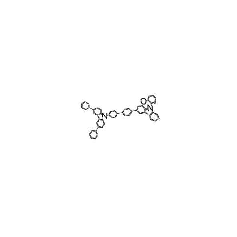 c1ccc(-c2ccc3c(c2)c2cc(-c4ccccc4)ccc2n3-c2ccc(-c3ccc(-c4cc5c6c(c4)c4ccccc4n6-c4ccccc4O5)cc3)cc2)cc1